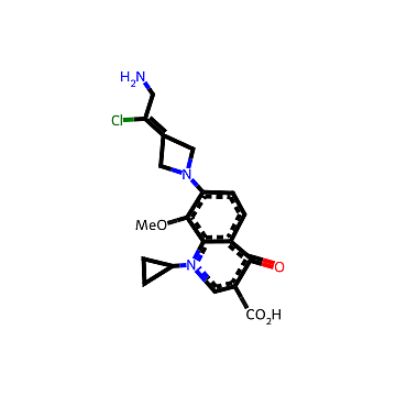 COc1c(N2CC(=C(Cl)CN)C2)ccc2c(=O)c(C(=O)O)cn(C3CC3)c12